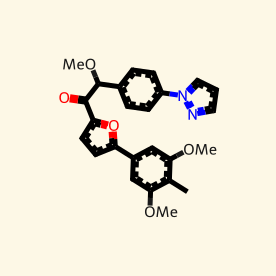 COc1cc(-c2ccc(C(=O)C(OC)c3ccc(-n4cccn4)cc3)o2)cc(OC)c1C